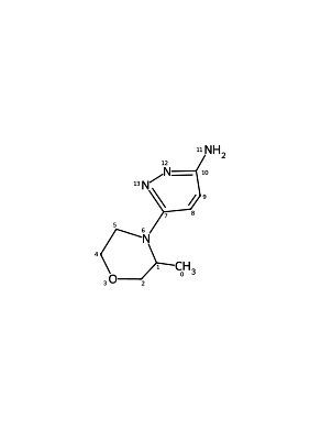 CC1COCCN1c1ccc(N)nn1